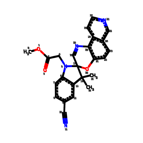 COC(=O)CN1c2ccc(C#N)cc2C(C)(C)C12C=Nc1c(ccc3cnccc13)O2